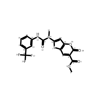 COC(=O)c1cc2sc(N(C)C(=O)Nc3cccc(C(F)(F)F)c3)cc2oc1=O